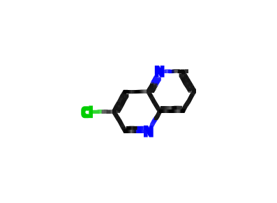 Clc1cnc2cc[c]nc2c1